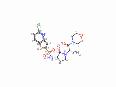 C[C@@H](C(=O)N1CCOCC1)N1CC[C@H](NS(=O)(=O)c2cc3nc(Cl)ccc3s2)C1=O